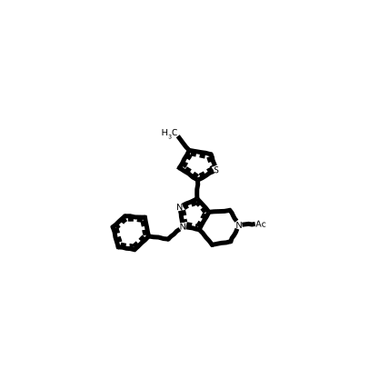 CC(=O)N1CCc2c(c(-c3cc(C)cs3)nn2Cc2ccccc2)C1